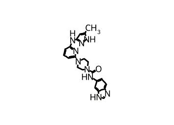 Cc1cc(Nc2cccc(N3CCN(C(=O)Nc4ccc5nc[nH]c5c4)CC3)n2)n[nH]1